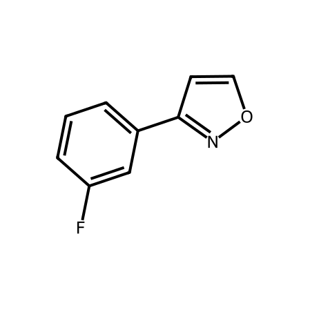 Fc1cccc(-c2ccon2)c1